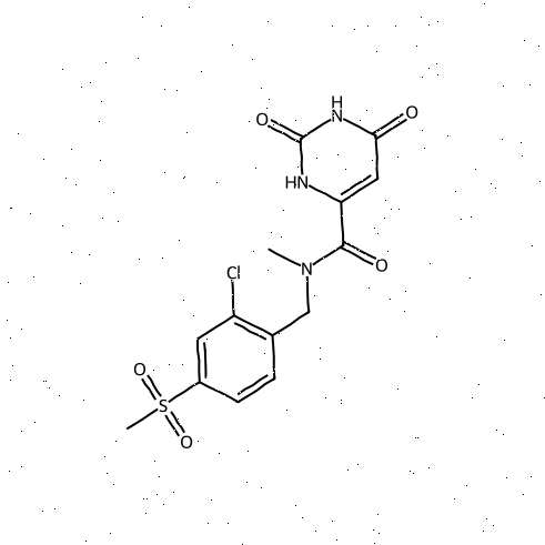 CN(Cc1ccc(S(C)(=O)=O)cc1Cl)C(=O)c1cc(=O)[nH]c(=O)[nH]1